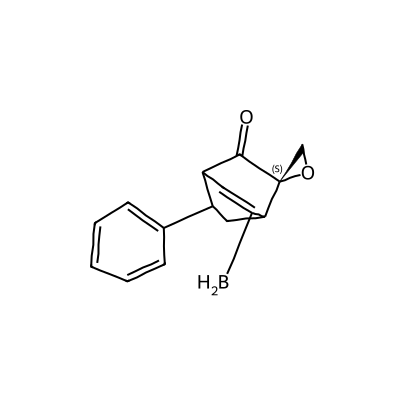 BC1=CC2C(=O)[C@@]3(CO3)C1CC2c1ccccc1